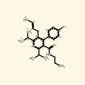 CCCNC(=O)c1c(C(C)C)nc(C(C)C)c(CC=CO)c1-c1ccc(F)cc1